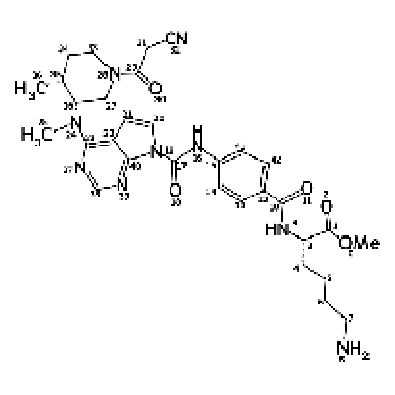 COC(=O)[C@H](CCCCN)NC(=O)c1ccc(NC(=O)n2ccc3c(N(C)[C@H]4CN(C(=O)CC#N)CC[C@H]4C)ncnc32)cc1